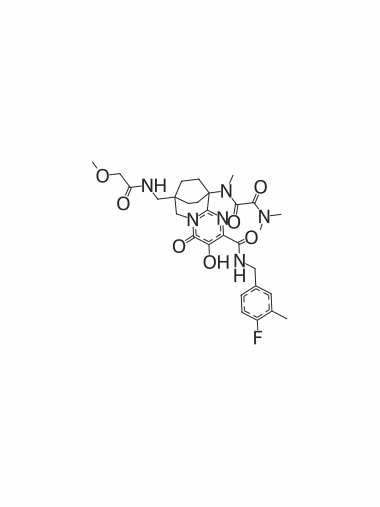 COCC(=O)NCC12CCC(N(C)C(=O)C(=O)N(C)C)(CC1)c1nc(C(=O)NCc3ccc(F)c(C)c3)c(O)c(=O)n1C2